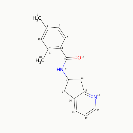 Cc1ccc(C(=O)NC2Cc3cccnc3C2)c(C)c1